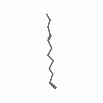 C=CCCCCC/C=C/CCC